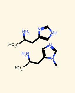 Cn1cncc1C[C@H](N)C(=O)O.N[C@@H](Cc1c[nH]cn1)C(=O)O